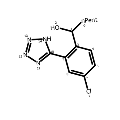 CCCCCC(O)c1ccc(Cl)cc1-c1nnn[nH]1